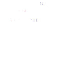 CCCCCCC(NCCN)C(=O)O